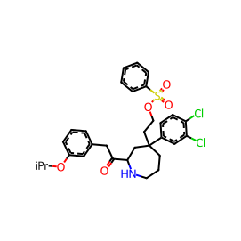 CC(C)Oc1cccc(CC(=O)C2CC(CCOS(=O)(=O)c3ccccc3)(c3ccc(Cl)c(Cl)c3)CCCN2)c1